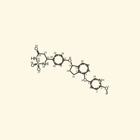 COc1ccc(Oc2cccc3c2CC[C@H]3Oc2ccc(C3CC(=O)NS(=O)(=O)N3)cc2)cn1